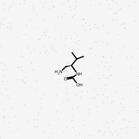 CC(C)[C@H](CN)NC(=O)O